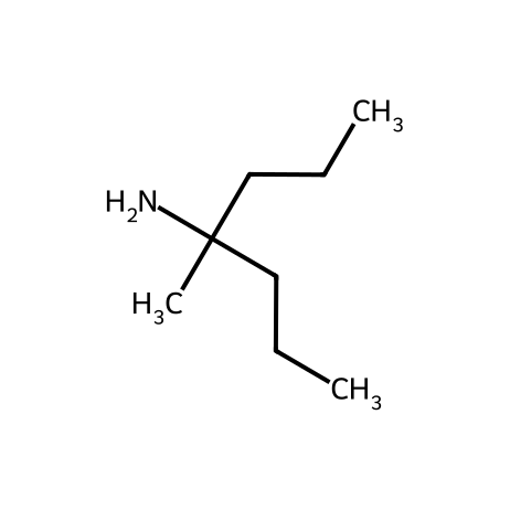 CCCC(C)(N)CCC